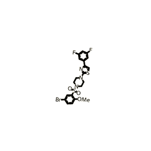 COc1ccc(Br)cc1S(=O)(=O)N1CCN(c2nc(-c3cc(F)cc(F)c3)cs2)CC1